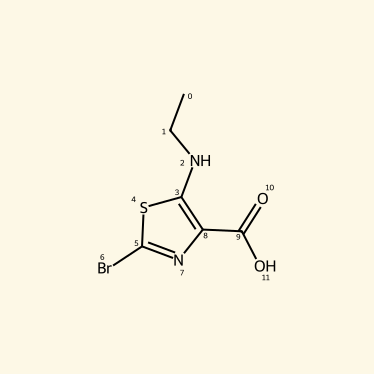 CCNc1sc(Br)nc1C(=O)O